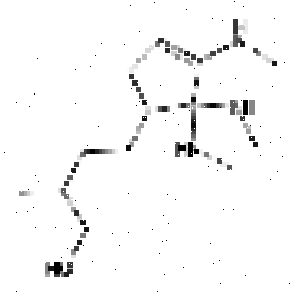 CNC1=CCC(CCC(C)CO)C1(NC)NC